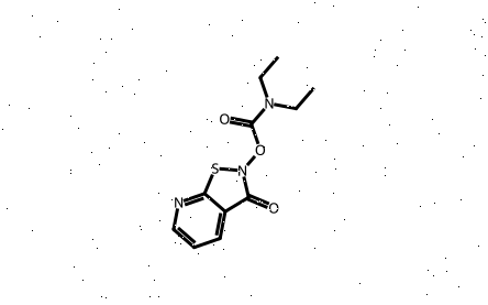 CCN(CC)C(=O)On1sc2ncccc2c1=O